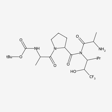 CC(N)C(=O)N(C(=O)C1CCCN1C(=O)C(C)NC(=O)OC(C)(C)C)C(C(C)C)C(O)C(F)(F)F